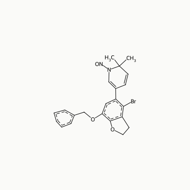 CC1(C)C=CC(c2cc(OCc3ccccc3)c3c(c2Br)CCO3)=CN1N=O